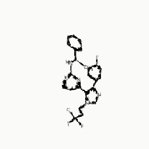 C[C@@H](Nc1nccc(-c2c(-c3ccc(F)cc3)ncn2CCC(F)(F)F)n1)c1ccccc1